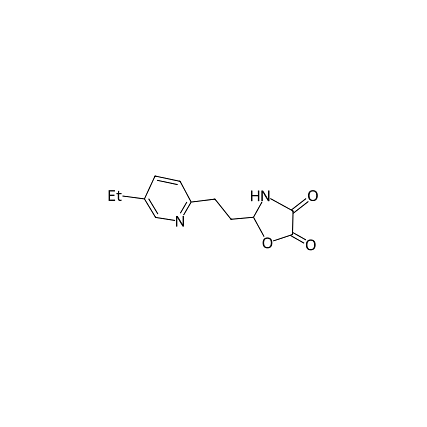 CCc1ccc(CCC2NC(=O)C(=O)O2)nc1